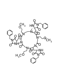 COCCN1CC(=O)N2C[C@]3(C[C@H]2C(=O)N(CCOC)CC(=O)N2C[C@]4(C[C@H]2C(=O)N(CCOC)CCN2C[C@]5(C[C@H]2C1=O)NC(=O)N(Cc1ccccc1)C5=O)NC(=O)N(Cc1ccccc1)C4=O)NC(=O)N(Cc1ccccc1)C3=O